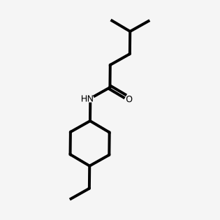 CCC1CCC(NC(=O)CCC(C)C)CC1